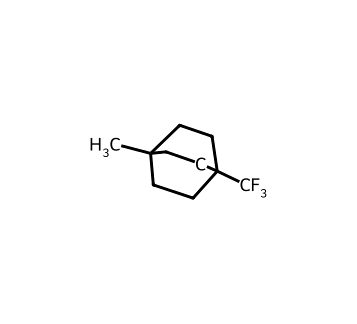 CC12CCC(C(F)(F)F)(CC1)CC2